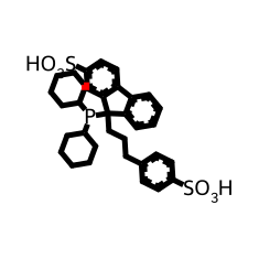 O=S(=O)(O)c1ccc(CCCC2(P(C3CCCCC3)C3CCCCC3)c3ccccc3-c3ccc(S(=O)(=O)O)cc32)cc1